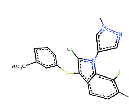 Cn1cc(-n2c(Cl)c(Sc3cccc(C(=O)O)c3)c3ccc(Cl)c(F)c32)cn1